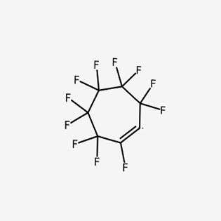 FC1=[C]C(F)(F)C(F)(F)C(F)(F)C(F)(F)C1(F)F